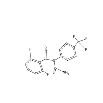 NC(=O)N(C(=O)c1c(F)cccc1F)c1ccc(C(F)(F)F)cc1